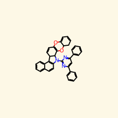 C1=CCC2OC3=C(C=CC4c5c(ccc6ccccc56)N(c5nc(-c6ccccc6)cc(-c6ccccc6)n5)C34)OC2=C1